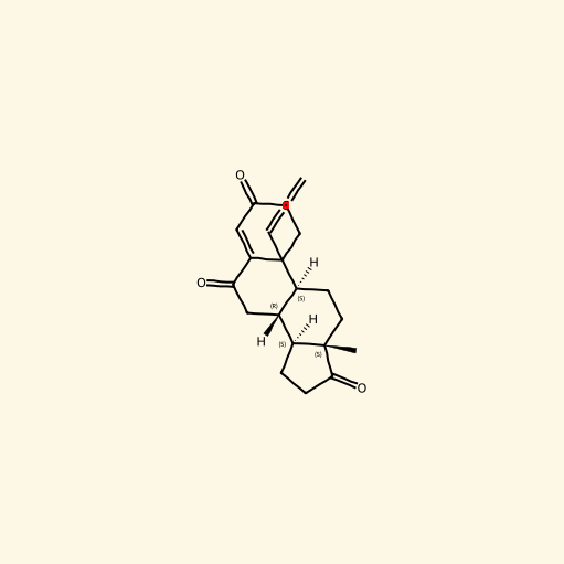 C=C=CC12CCC(=O)C=C1C(=O)C[C@@H]1[C@@H]2CC[C@]2(C)C(=O)CC[C@@H]12